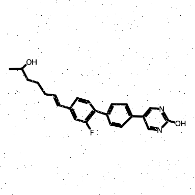 CC(O)CCCC=Cc1ccc(-c2ccc(-c3cnc(O)nc3)cc2)c(F)c1